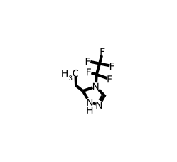 CCC1NN=CN1C(F)(F)C(F)(F)F